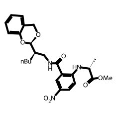 CCCC[C@H](CNC(=O)c1cc([N+](=O)[O-])ccc1N[C@H](C)C(=O)OC)[C@@H]1OCc2ccccc2O1